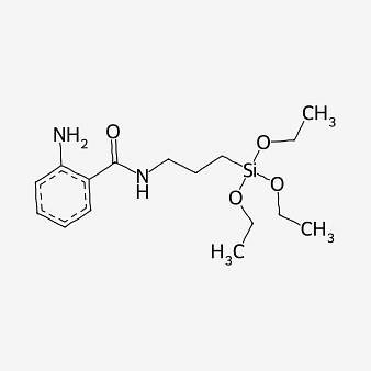 CCO[Si](CCCNC(=O)c1ccccc1N)(OCC)OCC